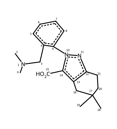 CN(C)Cc1ccccc1-n1nc2c(c1C(=O)O)CC(C)(C)CC2